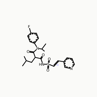 CC(C)CC(C(=O)NS(=O)(=O)/C=C/c1cccnc1)C(=O)N(c1ccc(F)cc1)C(C)C